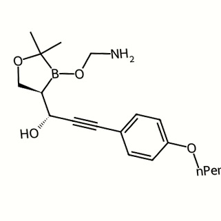 CCCCCOc1ccc(C#C[C@H](O)[C@H]2COC(C)(C)B2OCN)cc1